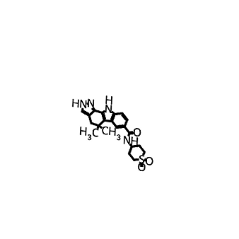 CC1(C)Cc2c[nH]nc2-c2[nH]c3ccc(C(=O)NC4CCS(=O)(=O)CC4)cc3c21